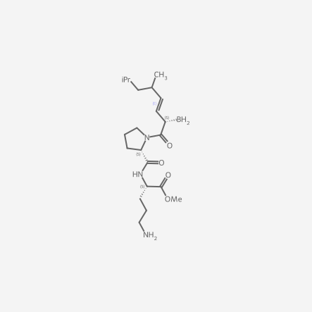 B[C@@H](/C=C/C(C)CC(C)C)C(=O)N1CCC[C@H]1C(=O)N[C@@H](CCCN)C(=O)OC